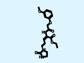 CCOC(=O)C(=CCC[C@H]1CCNC1=O)NC(=O)COc1cccc(OC)c1